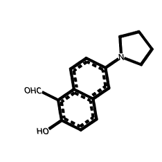 O=Cc1c(O)ccc2cc(N3CCCC3)ccc12